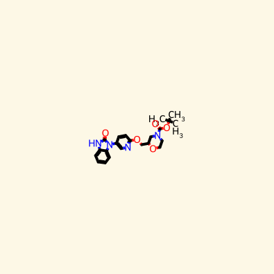 CC(C)(C)OC(=O)N1CCOC(COc2ccc(-n3c(=O)[nH]c4ccccc43)cn2)C1